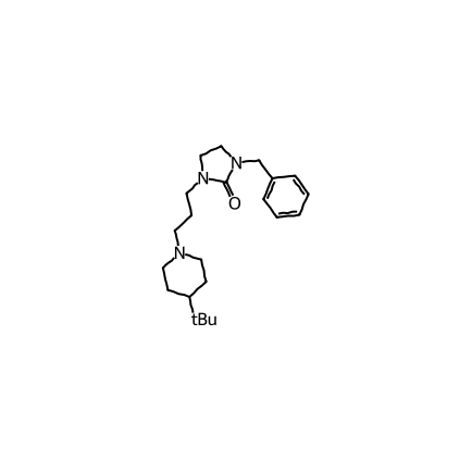 CC(C)(C)C1CCN(CCCN2CCN(Cc3ccccc3)C2=O)CC1